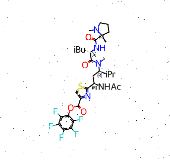 CCC(C)[C@H](NC(=O)[C@@]1(C)CCCN1C)C(=O)N(C)[C@H](C[C@@H](NC(C)=O)c1nc(C(=O)Oc2c(F)c(F)c(F)c(F)c2F)cs1)C(C)C